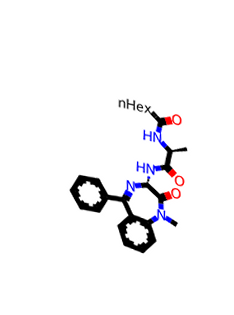 CCCCCCC(=O)N[C@@H](C)C(=O)N[C@H]1N=C(c2ccccc2)c2ccccc2N(C)C1=O